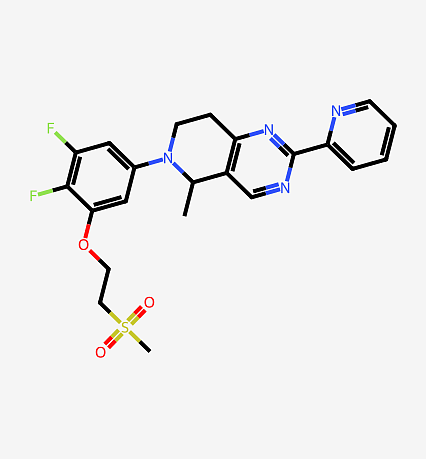 CC1c2cnc(-c3ccccn3)nc2CCN1c1cc(F)c(F)c(OCCS(C)(=O)=O)c1